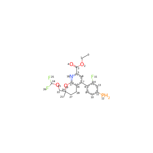 CCOC(=O)c1cc(-c2ccc(P)cc2F)c2c(n1)OC(C)(COC(F)F)CC2